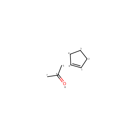 C1=CCCC1.CC(C)=O